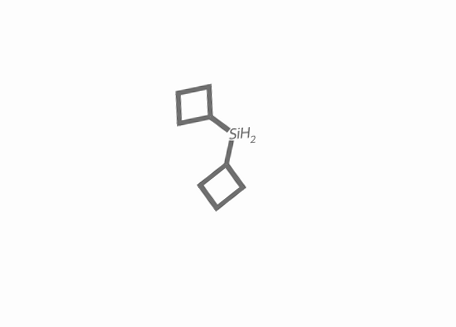 C1CC([SiH2]C2CCC2)C1